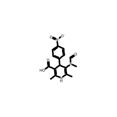 CC1=C(C(=O)O)C(c2ccc([N+](=O)[O-])cc2)C(N(C)C=O)=C(C)N1